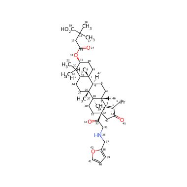 CC(C)C1=C2[C@H]3CC[C@@H]4[C@@]5(C)CC[C@H](OC(=O)CC(C)(C)C(=O)O)C(C)(C)[C@@H]5CC[C@@]4(C)[C@]3(C)CC[C@@]2(C(=O)CNCc2ccco2)CC1=O